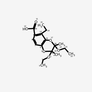 CCOC1(C)Oc2ccc(C(=O)O)c(CC)c2OC1(C)OCC